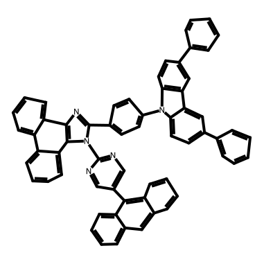 c1ccc(-c2ccc3c(c2)c2cc(-c4ccccc4)ccc2n3-c2ccc(-c3nc4c5ccccc5c5ccccc5c4n3-c3ncc(-c4c5ccccc5cc5ccccc45)cn3)cc2)cc1